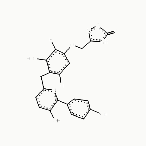 Cc1ccc(-c2nc(Cc3c(C)cc(OCc4noc(=O)[nH]4)c(F)c3C)ccc2O)cc1